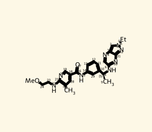 CCn1cc2ncc(N[C@@H](C)c3cccc(NC(=O)c4cnc(NCCOC)c(C)c4)c3)nc2n1